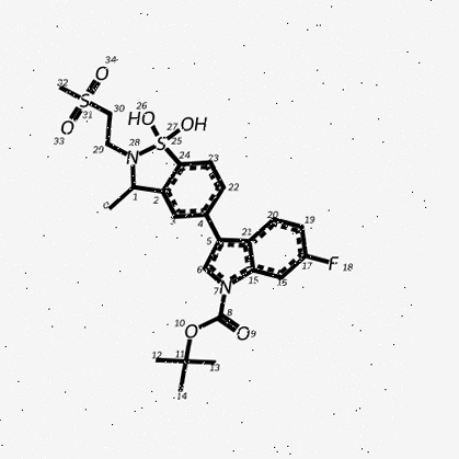 CC1c2cc(-c3cn(C(=O)OC(C)(C)C)c4cc(F)ccc34)ccc2S(O)(O)N1CCS(C)(=O)=O